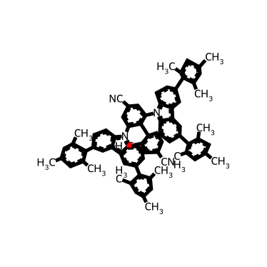 Cc1cc(C)c(-c2ccc3c(c2)c2cc(-c4c(C)cc(C)cc4C)ccc2n3-c2cc(C#N)cc(-n3c4ccc(-c5c(C)cc(C)cc5C)cc4c4cc(-c5c(C)cc(C)cc5C)ccc43)c2-c2ccc(C#N)cc2C)c(C)c1